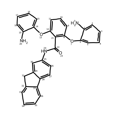 Nc1ccccc1Oc1cccc(Oc2ccccc2N)c1C(=O)Nc1ccc2c(c1)Cc1ccccc1-2